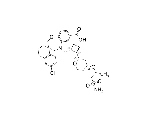 CC(CS(N)(=O)=O)O[C@H]1CCO[C@H]([C@@H]2CC[C@H]2CN2CC3(CCCc4cc(Cl)ccc43)COc3ccc(C(=O)O)cc32)C1